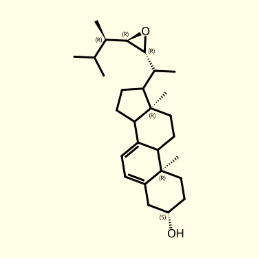 CC(C)[C@@H](C)[C@H]1O[C@@H]1C(C)C1CCC2C3=CC=C4C[C@@H](O)CC[C@]4(C)C3CC[C@@]21C